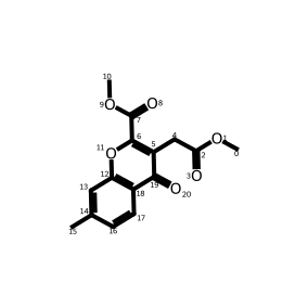 COC(=O)Cc1c(C(=O)OC)oc2cc(C)ccc2c1=O